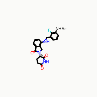 CC(=O)Nc1cccc(CNc2cccc3c2CN([C@H]2CCC(=O)NC2=O)C3=O)c1F